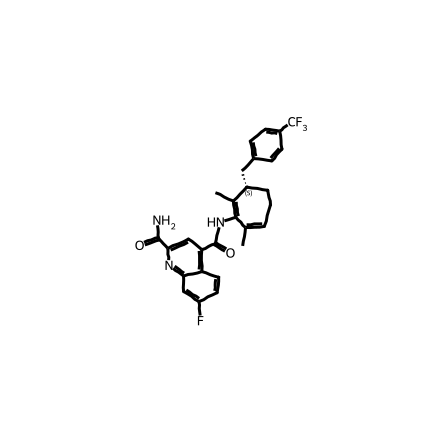 CC1=CCC[C@@H](Cc2ccc(C(F)(F)F)cc2)C(C)=C1NC(=O)c1cc(C(N)=O)nc2cc(F)ccc12